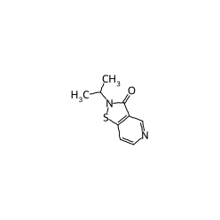 CC(C)n1sc2ccncc2c1=O